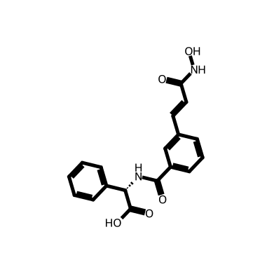 O=C(C=Cc1cccc(C(=O)N[C@H](C(=O)O)c2ccccc2)c1)NO